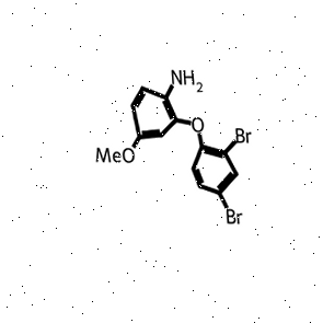 COc1ccc(N)c(Oc2ccc(Br)cc2Br)c1